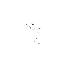 CS(=O)(=O)c1ccc2c(c1)[C@H](CC(=O)NC(=N)N)N(CC(F)(F)F)C2=O